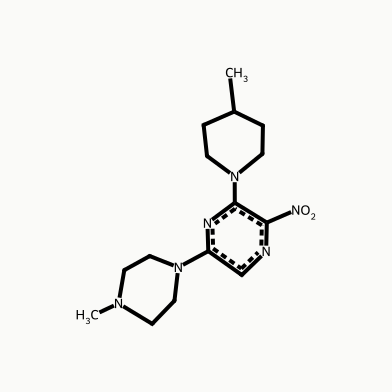 CC1CCN(c2nc(N3CCN(C)CC3)cnc2[N+](=O)[O-])CC1